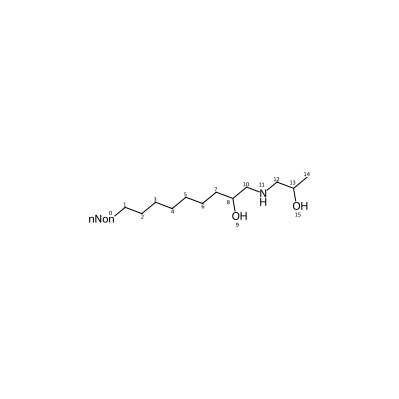 CCCCCCCCCCCCCCCCC(O)CNCC(C)O